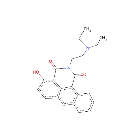 CCN(CC)CCN1C(=O)c2c(O)ccc3cc4ccccc4c(c23)C1=O